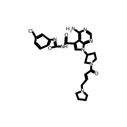 Nc1ncnc2c1c(C(=O)Nc1nc3cc(Cl)ccc3o1)cn2C1CCN(C(=O)C=CCN2CCCC2)C1